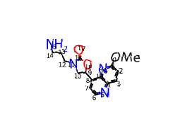 COc1ccc2nccc(C3CN(CCCN)C(=O)O3)c2n1